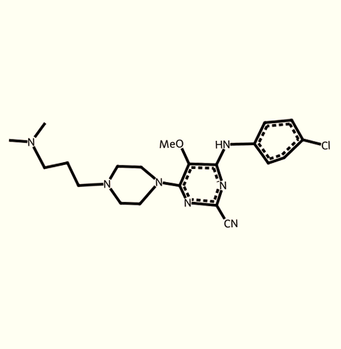 COc1c(Nc2ccc(Cl)cc2)nc(C#N)nc1N1CCN(CCCN(C)C)CC1